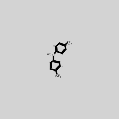 FC(F)(F)c1ccc(Oc2ccc(C(F)(F)F)cc2)cc1.[P]